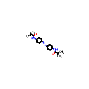 C=C(C)C(=O)Nc1ccc(N=Nc2ccc(NC(=O)C(=C)C)cc2)cc1